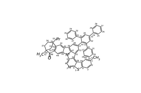 Cc1ccc2sc3ncc4c(c5cc(-c6c(-c7ccccc7)cc(-c7ccccc7)cc6-c6ccccc6)cc6c7cc8c(cc7n4c65)C(=O)C4(C)CCC8(C(C)C)CC4)c3c2c1